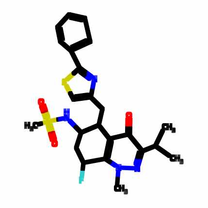 CC(C)c1nn(C)c2c(c1=O)C(Cc1csc(-c3ccccc3)n1)C(NS(C)(=O)=O)CC2F